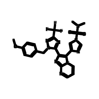 COc1ccc(Cn2nc(C(F)(F)F)nc2-c2nc3ncccn3c2-c2cn(S(=O)(=O)N(C)C)cn2)cc1